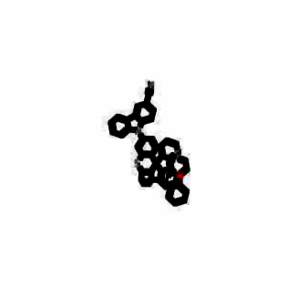 N#Cc1ccc2c(c1)c1ccccc1n2-c1ccc2c(c1)Sc1cccc(-n3c4ccccc4c4ccncc43)c1C21c2cccnc2-c2ncccc21